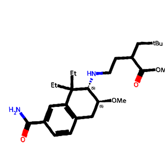 CCC1(CC)c2cc(C(N)=O)ccc2C[C@H](OC)[C@H]1NCCC(CC(C)(C)C)C(=O)OC